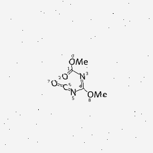 COC(=O)/N=C(\N=C=O)OC